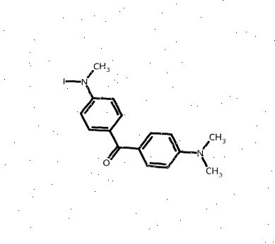 CN(C)c1ccc(C(=O)c2ccc(N(C)I)cc2)cc1